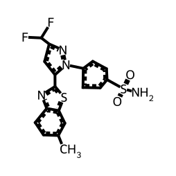 Cc1ccc2nc(-c3cc(C(F)F)nn3-c3ccc(S(N)(=O)=O)cc3)sc2c1